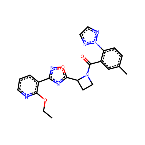 CCOc1ncccc1-c1noc(C2CCN2C(=O)c2cc(C)ccc2-n2nccn2)n1